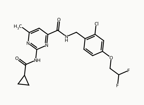 Cc1cc(C(=O)NCc2ccc(OCC(F)F)cc2Cl)nc(NC(=O)C2CC2)n1